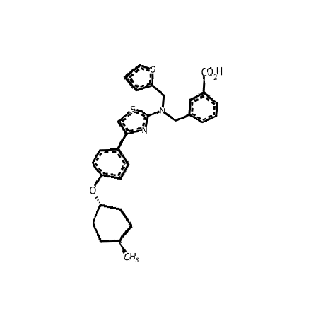 C[C@H]1CC[C@H](Oc2ccc(-c3csc(N(Cc4cccc(C(=O)O)c4)Cc4ccco4)n3)cc2)CC1